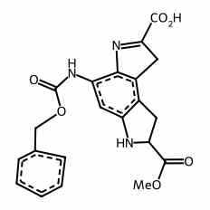 COC(=O)C1Cc2c(cc(NC(=O)OCc3ccccc3)c3c2CC(C(=O)O)=N3)N1